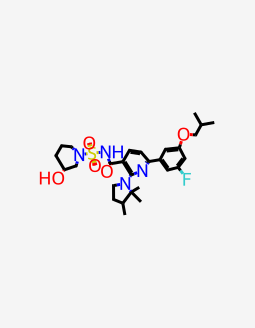 CC(C)COc1cc(F)cc(-c2ccc(C(=O)NS(=O)(=O)N3CCCC(O)C3)c(N3CCC(C)C3(C)C)n2)c1